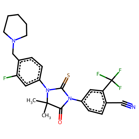 CC1(C)C(=O)N(c2ccc(C#N)c(C(F)(F)F)c2)C(=S)N1c1ccc(CN2CCCCC2)c(F)c1